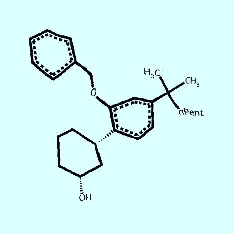 CCCCCC(C)(C)c1ccc([C@H]2CCC[C@@H](O)C2)c(OCc2ccccc2)c1